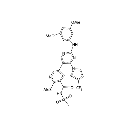 COc1cc(Nc2ncc(-c3cnc(SC)c(C(=O)NS(C)(=O)=O)c3)c(-n3ccc(C(F)(F)F)n3)n2)cc(OC)c1